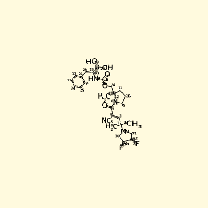 CC(C)(C=C(C#N)C(=O)N1CCC[C@]1(C)COC(=O)N[C@@H](Cc1ccccc1)B(O)O)N1C[C@@H](F)[C@@H](F)C1